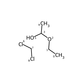 CCOC(C)O.ClCCl